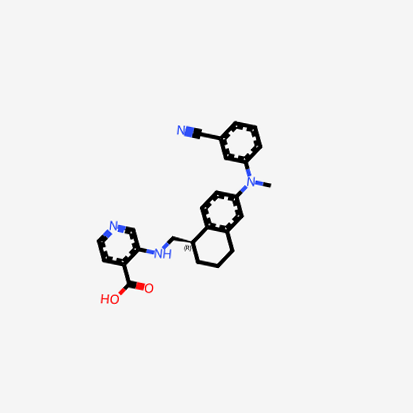 CN(c1cccc(C#N)c1)c1ccc2c(c1)CCC[C@H]2CNc1cnccc1C(=O)O